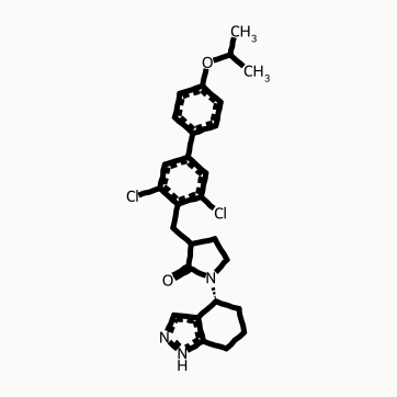 CC(C)Oc1ccc(-c2cc(Cl)c(CC3CCN([C@@H]4CCCc5[nH]ncc54)C3=O)c(Cl)c2)cc1